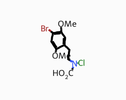 COc1cc(CCN(Cl)C(=O)O)c(OC)cc1Br